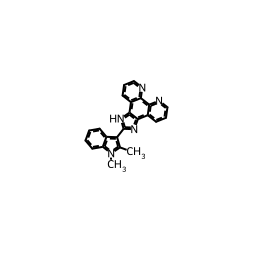 Cc1c(-c2nc3c4cccnc4c4ncccc4c3[nH]2)c2ccccc2n1C